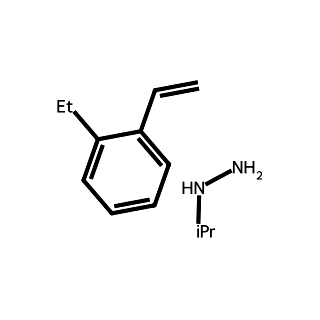 C=Cc1ccccc1CC.CC(C)NN